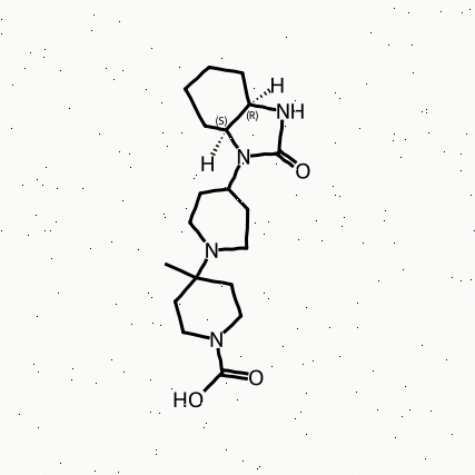 CC1(N2CCC(N3C(=O)N[C@@H]4CCCC[C@@H]43)CC2)CCN(C(=O)O)CC1